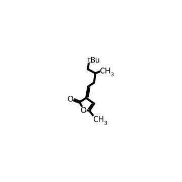 CC1=CC(=CCC(C)CC(C)(C)C)C(=O)O1